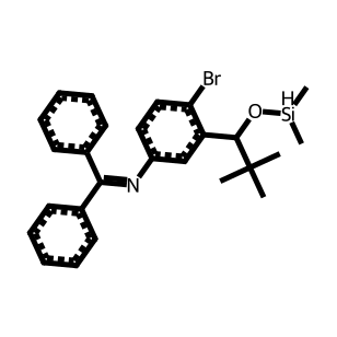 C[SiH](C)OC(c1cc(N=C(c2ccccc2)c2ccccc2)ccc1Br)C(C)(C)C